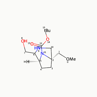 COC[C@@]12CC[C@@H](C(CO)NC1)N2C(=O)OC(C)(C)C